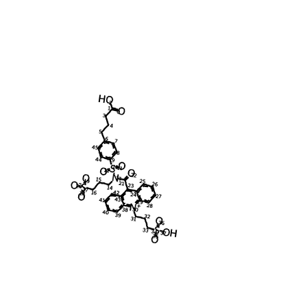 O=C(O)CCCc1ccc(S(=O)(=O)N(CCCS(=O)(=O)[O-])C(=O)c2c3ccccc3[n+](CCCS(=O)(=O)O)c3ccccc23)cc1